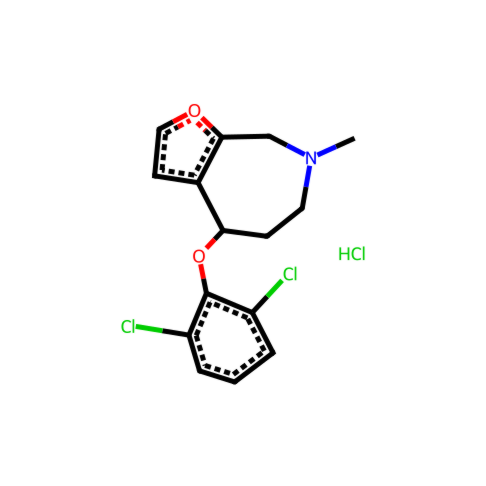 CN1CCC(Oc2c(Cl)cccc2Cl)c2ccoc2C1.Cl